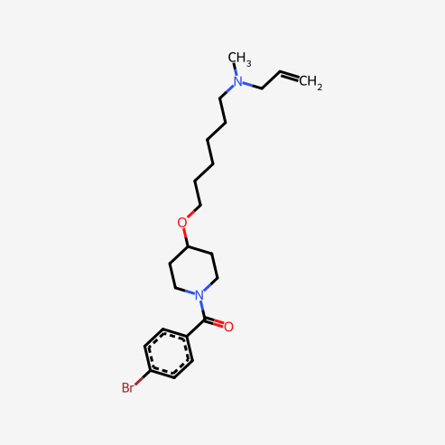 C=CCN(C)CCCCCCOC1CCN(C(=O)c2ccc(Br)cc2)CC1